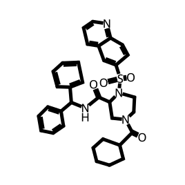 O=C(NC(c1ccccc1)c1ccccc1)C1CN(C(=O)C2CCCCC2)CCN1S(=O)(=O)c1ccc2ncccc2c1